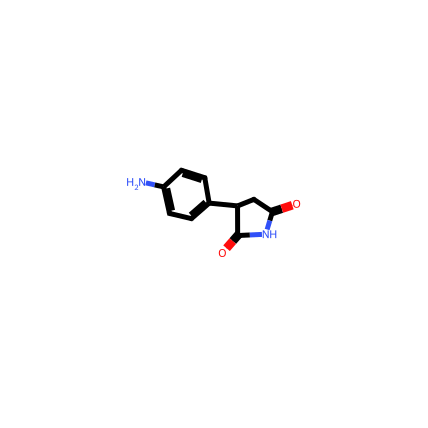 Nc1ccc(C2CC(=O)NC2=O)cc1